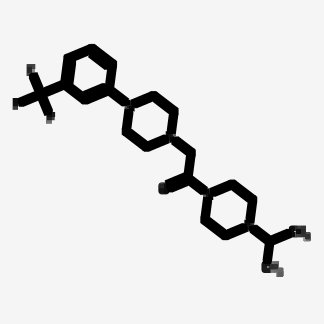 CC(C)N1CCN(C(=O)CN2CCN(c3cccc(C(F)(F)F)c3)CC2)CC1